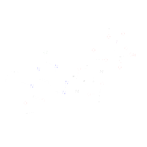 CCOP(=O)(OCC)[C@](COC)(OC[C@H]1O[C@@H](n2ncc3c(N(C(=O)OC(C)(C)C)C4CCCC4)nc(Cl)nc32)[C@@H]2OC(C)(C)O[C@@H]21)C(=O)O